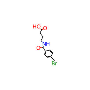 O=C(O)CCCNC(=O)c1ccc(CBr)cc1